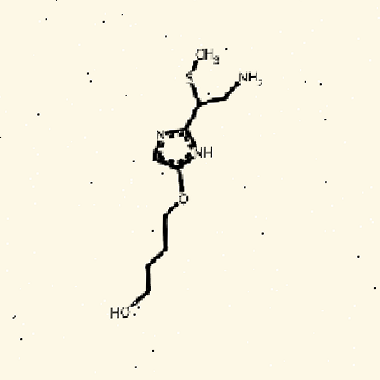 CSC(CN)c1ncc(OCCCCO)[nH]1